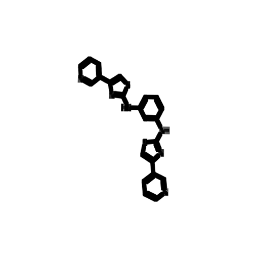 c1cc(Nc2nc(-c3cccnc3)cs2)cc(Nc2nc(-c3cccnc3)cs2)c1